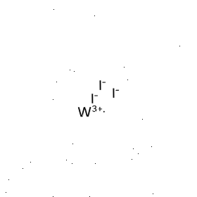 [I-].[I-].[I-].[W+3]